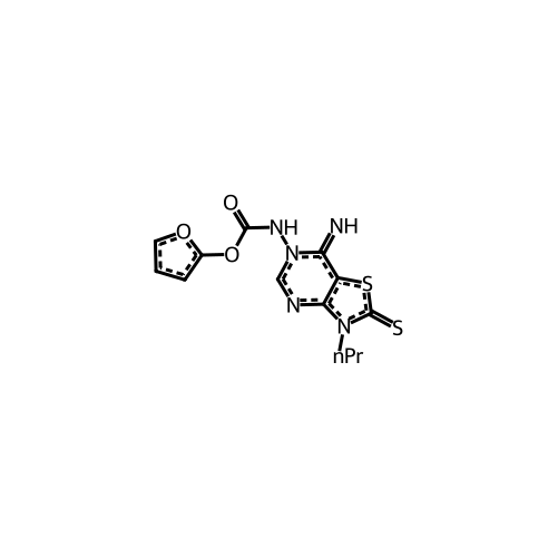 CCCn1c(=S)sc2c(=N)n(NC(=O)Oc3ccco3)cnc21